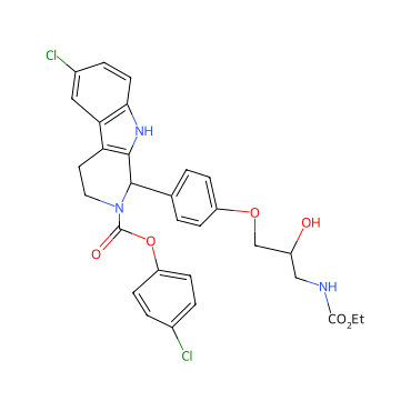 CCOC(=O)NCC(O)COc1ccc(C2c3[nH]c4ccc(Cl)cc4c3CCN2C(=O)Oc2ccc(Cl)cc2)cc1